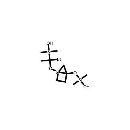 CCC(C)(O[Si]12CCC1(O[Si](C)(C)O)C2)[Si](C)(C)O